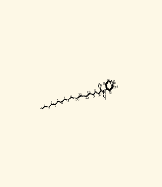 CCCCCCCCCCCCCCCCCC(=O)Nc1ccncc1